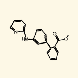 COC(=O)c1ccccc1-c1cccc(Nc2ccccn2)c1